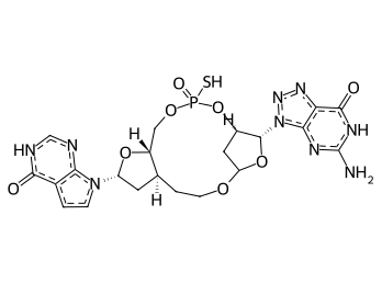 Nc1nc2c(nnn2[C@@H]2OC3C[C@H]2OP(=O)(S)OC[C@H]2O[C@@H](n4ccc5c(=O)[nH]cnc54)C[C@@H]2CCO3)c(=O)[nH]1